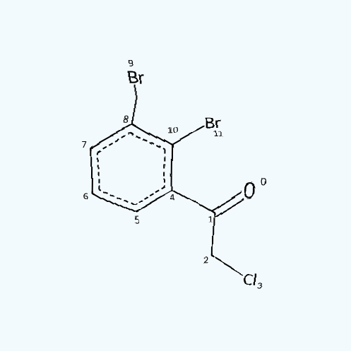 O=C(CCl)c1cccc(Br)c1Br